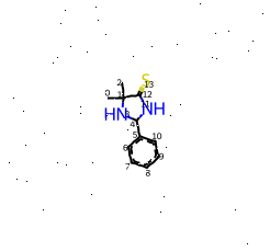 CC1(C)NC(c2ccccc2)NC1=S